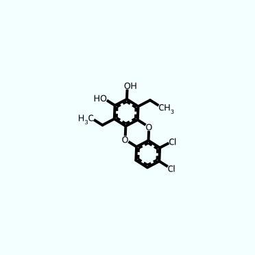 CCc1c(O)c(O)c(CC)c2c1Oc1ccc(Cl)c(Cl)c1O2